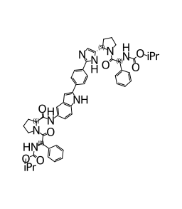 CC(C)OC(=O)N[C@@H](C(=O)N1CCC[C@H]1C(=O)Nc1ccc2[nH]c(-c3ccc(-c4ncc([C@@H]5CCCN5C(=O)[C@H](NC(=O)OC(C)C)c5ccccc5)[nH]4)cc3)cc2c1)c1ccccc1